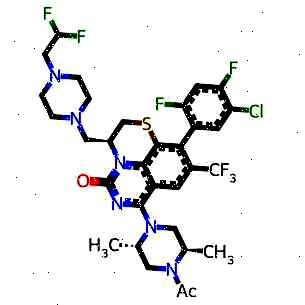 CC(=O)N1C[C@H](C)N(c2nc(=O)n3c4c(c(-c5cc(Cl)c(F)cc5F)c(C(F)(F)F)cc24)SC[C@@H]3CN2CCN(CC(F)F)CC2)C[C@H]1C